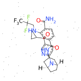 NC(=O)c1ccc(C(=O)N[C@H]2C[C@H]3CC[C@@H](C2)N3c2ccc(C(=O)C3CC3)cn2)cc1NCC(F)(F)C(F)(F)F